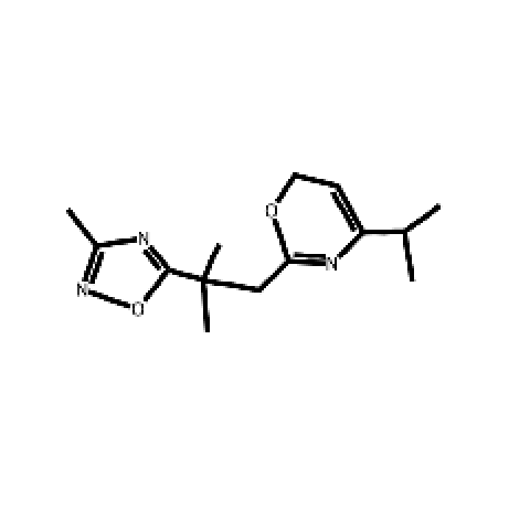 Cc1noc(C(C)(C)CC2=NC(C(C)C)=CCO2)n1